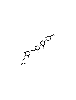 CCCC1CCC(c2ccc(-c3ccc(/C=C/c4cc(F)c(C/C=C/C(F)F)c(F)c4)c(F)c3)c(F)c2)OC1